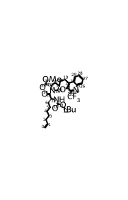 C=CCCCCC[C@H](NC(=O)OC(C)(C)C)C(=O)N1C[C@]2(CCc3c(c(C(F)(F)F)nc4ccccc34)O2)C[C@H]1C(=O)OC